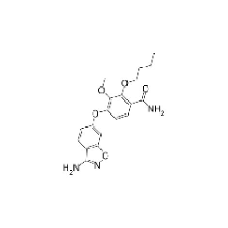 CCCCOc1c(C(N)=O)ccc(Oc2ccc3c(N)noc3c2)c1OC